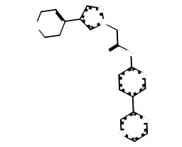 O=C(Cn1cc(C2=CCOCC2)cn1)Nc1ccc(-c2cnccn2)cn1